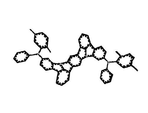 Cc1ccc(C)c(N(c2ccccc2)c2ccc3c4cccc5c6cc7c(cc6n(c3c2)c45)c2cccc3c4ccc(N(c5ccccc5)c5cc(C)ccc5C)cc4n7c32)c1